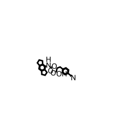 N#Cc1ccc(CC(OC(=O)Nc2c3c(cc4c2CCC4)CCC3)C(=O)O)cc1